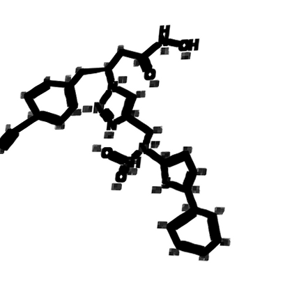 C#Cc1ccc(C[C@@H](CC(=O)NO)n2cc(CN(c3ccc(-c4ccccc4)s3)[SH](=O)=O)nn2)cc1